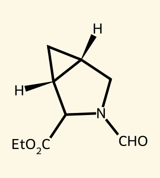 CCOC(=O)C1[C@@H]2C[C@@H]2CN1C=O